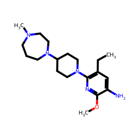 CCc1cc(N)c(OC)nc1N1CCC(N2CCCN(C)CC2)CC1